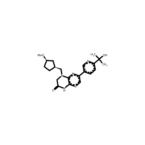 CO[C@@H]1CC[C@H](CN2CC(=O)Nc3ncc(-c4ccc(C(C)(C)O)nc4)nc32)C1